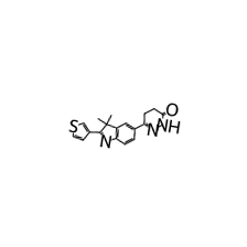 CC1(C)C(c2ccsc2)=Nc2ccc(C3=NNC(=O)CC3)cc21